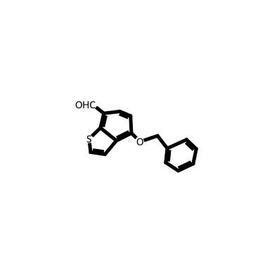 O=Cc1ccc(OCc2ccccc2)c2ccsc12